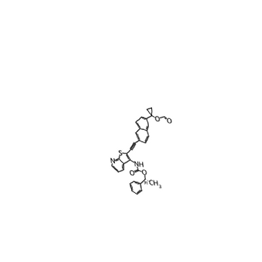 C[C@@H](OC(=O)Nc1c(C#Cc2ccc3cc(C4(OC=O)CC4)ccc3c2)sc2ncccc12)c1ccccc1